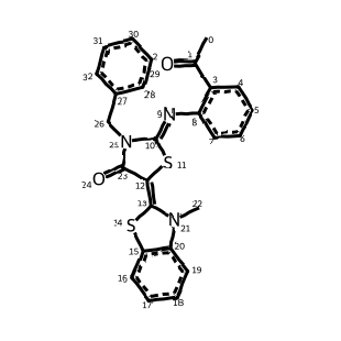 CC(=O)c1ccccc1N=C1SC(=C2Sc3ccccc3N2C)C(=O)N1Cc1ccccc1